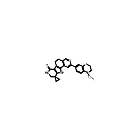 CN1CCOc2cc(-c3cc4c(cn3)CCc3c-4[nH]c4c3C(=O)NCC43CC3)ccc21